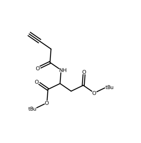 C#CCC(=O)NC(CC(=O)OC(C)(C)C)C(=O)OC(C)(C)C